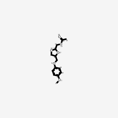 COc1ccc(OCC2COC(COC(C)=O)O2)cc1